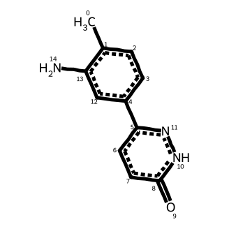 Cc1ccc(-c2ccc(=O)[nH]n2)cc1N